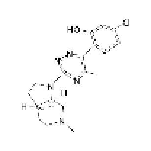 Cc1nc(N2CC[C@@H]3CCN(C)C[C@@H]32)nnc1-c1ccc(Cl)cc1O